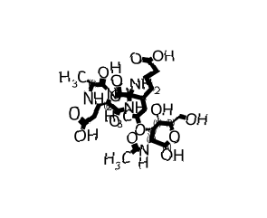 CC(=O)N[C@@H]1[C@@H](OC(C)CC(CCCC(=O)O)C(N)(NC(=O)[C@@H](CCC(=O)O)NC(=O)[C@H](C)N)C(=O)O)[C@H](O)[C@@H](CO)O[C@@H]1O